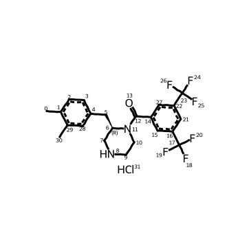 Cc1ccc(C[C@@H]2CNCCN2C(=O)c2cc(C(F)(F)F)cc(C(F)(F)F)c2)cc1C.Cl